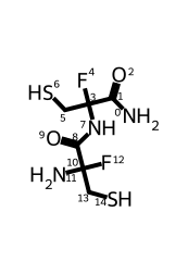 NC(=O)C(F)(CS)NC(=O)C(N)(F)CS